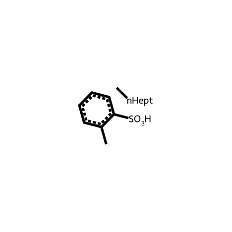 CCCCCCCC.Cc1ccccc1S(=O)(=O)O